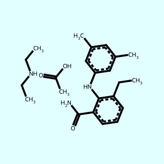 CC(=O)O.CCNCC.CCc1cccc(C(N)=O)c1Nc1cc(C)cc(C)c1